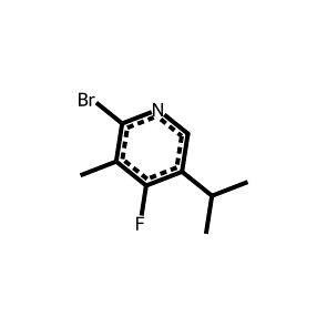 Cc1c(Br)ncc(C(C)C)c1F